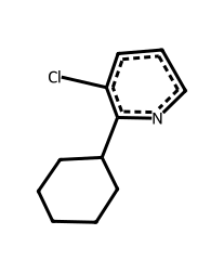 Clc1cccnc1C1CCCCC1